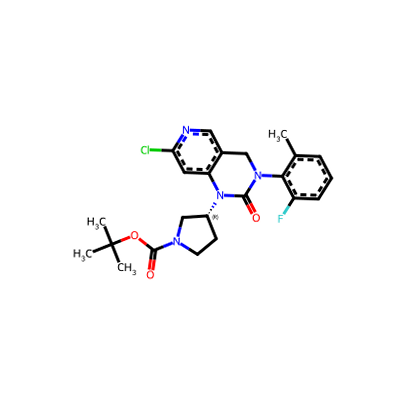 Cc1cccc(F)c1N1Cc2cnc(Cl)cc2N([C@@H]2CCN(C(=O)OC(C)(C)C)C2)C1=O